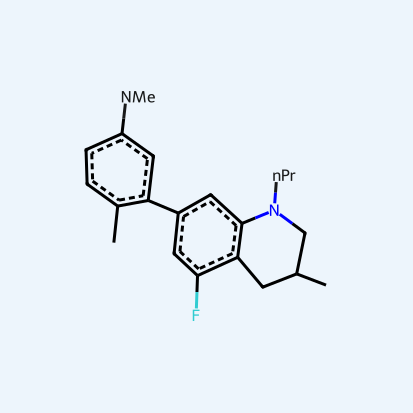 CCCN1CC(C)Cc2c(F)cc(-c3cc(NC)ccc3C)cc21